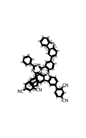 N#Cc1ccc(-c2ccc3c(c2)c2cc(-c4ccc(C#N)cc4C#N)ccc2n3-c2ccc(-c3ccc4sc5ccccc5c4c3)cc2-c2nc(-c3ccccc3)nc(-c3ccccc3)n2)c(C#N)c1